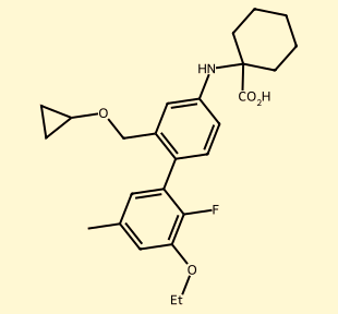 CCOc1cc(C)cc(-c2ccc(NC3(C(=O)O)CCCCC3)cc2COC2CC2)c1F